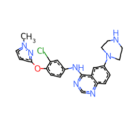 Cn1ccc(Oc2ccc(Nc3ncnc4ccc(N5CCNCC5)cc34)cc2Cl)n1